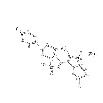 Cc1c(C2=CS(=O)(=O)c3cc(-c4ccc(F)cn4)ccc32)c2cc(F)ccc2n1CC(=O)O